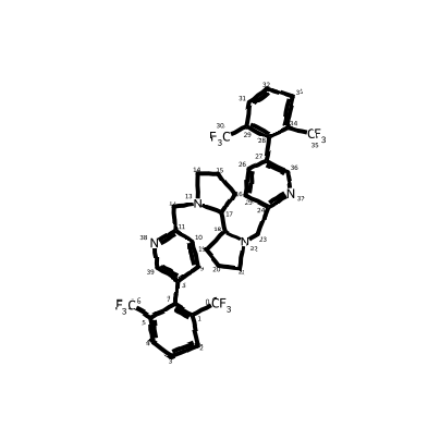 FC(F)(F)c1cccc(C(F)(F)F)c1-c1ccc(CN2CCCC2C2CCCN2Cc2ccc(-c3c(C(F)(F)F)cccc3C(F)(F)F)cn2)nc1